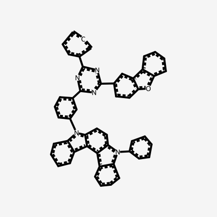 c1ccc(-c2nc(-c3cccc(-n4c5ccccc5c5c6c7ccccc7n(-c7ccccc7)c6ccc54)c3)nc(-c3ccc4oc5ccccc5c4c3)n2)cc1